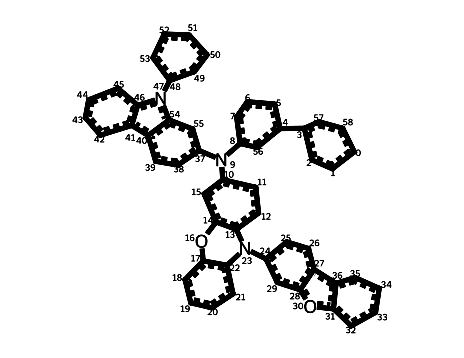 c1ccc(-c2cccc(N(c3ccc4c(c3)Oc3ccccc3N4c3ccc4c(c3)oc3ccccc34)c3ccc4c5ccccc5n(-c5ccccc5)c4c3)c2)cc1